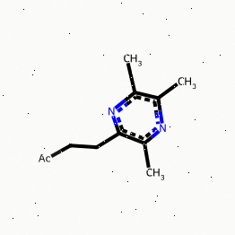 CC(=O)CCc1nc(C)c(C)nc1C